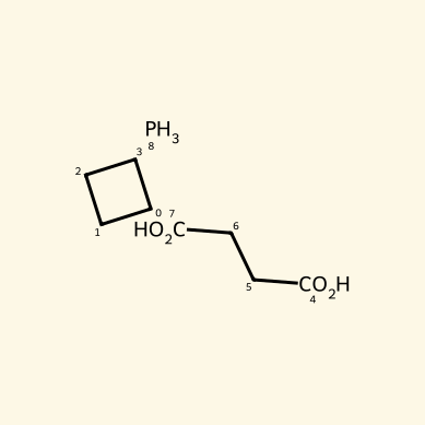 C1CCC1.O=C(O)CCC(=O)O.P